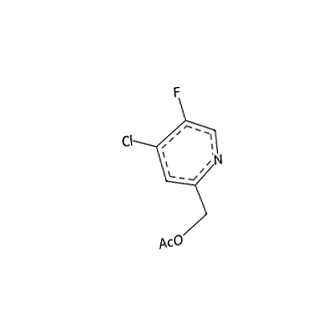 CC(=O)OCc1cc(Cl)c(F)cn1